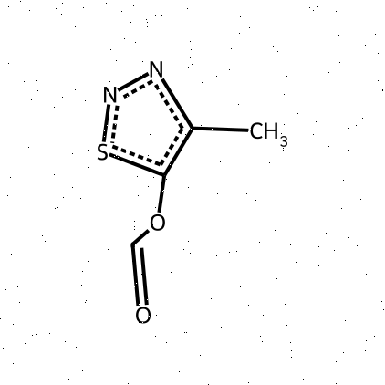 Cc1nnsc1OC=O